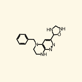 c1ccc(CN2CCNc3nnc(C4NCNO4)cc32)cc1